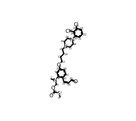 CSC(=O)OCN(C)c1cc(OCCCCN2CCN(c3cccc(Cl)c3Cl)CC2)ccc1/C=C\C=O